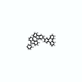 c1ccc(-n2c3ccccc3c3c(-n4c5ccccc5c5ccc(-c6ccc7c8ccccc8c8ccccc8c7c6)cc54)cccc32)cc1